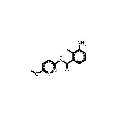 COc1ccc(NC(=O)c2cccc(N)c2C)nn1